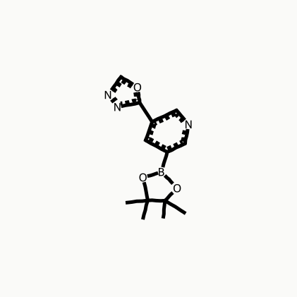 CC1(C)OB(c2cncc(-c3nnco3)c2)OC1(C)C